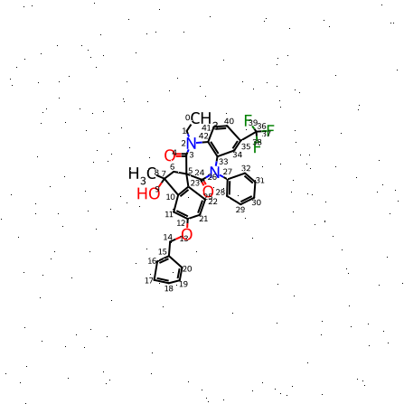 CCN1C(=O)C2(CC(C)(O)c3cc(OCc4ccccc4)ccc32)C(=O)N(c2ccccc2)c2cc(C(F)(F)F)ccc21